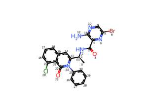 C[C@H](NC(=O)c1nc(Br)cnc1N)c1cc2cccc(Cl)c2c(=O)n1-c1ccccc1